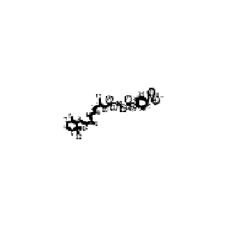 CC(C=CC1=C(C)CCCC1(C)C)=CC=CC(C)=CC(=O)OCOC(=O)Oc1ccc([N+](=O)[O-])cc1